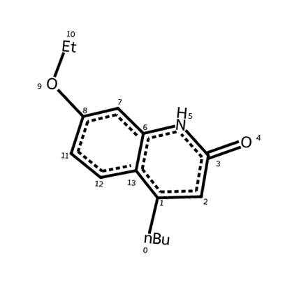 CCCCc1cc(=O)[nH]c2cc(OCC)ccc12